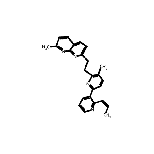 C/C=C\c1ncccc1-c1ccc(C)c(CCc2ccc3ccc(C)nc3n2)n1